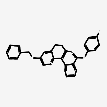 Fc1ccc(Sc2nc3c(c4ccccc24)-c2ncc(OCc4ccccc4)cc2CC3)cc1